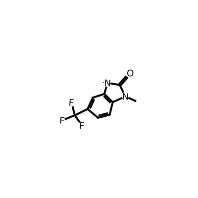 CN1C(=O)[N]c2cc(C(F)(F)F)ccc21